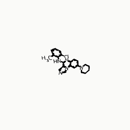 Cc1cccc(Cl)c1Nc1nc2ccc(N3CCCCC3)cc2n2cncc12